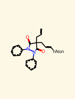 C=CCC1(CC=CCCCCCCCCC)C(=O)N(c2ccccc2)N(c2ccccc2)C1=O